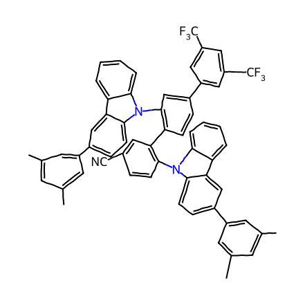 Cc1cc(C)cc(-c2ccc3c(c2)c2ccccc2n3-c2ccc(C#N)cc2-c2ccc(-c3cc(C(F)(F)F)cc(C(F)(F)F)c3)cc2-n2c3ccccc3c3cc(-c4cc(C)cc(C)c4)ccc32)c1